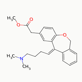 COC(=O)Cc1ccc2c(c1)/C(=C\CCCN(C)C)c1ccccc1CO2